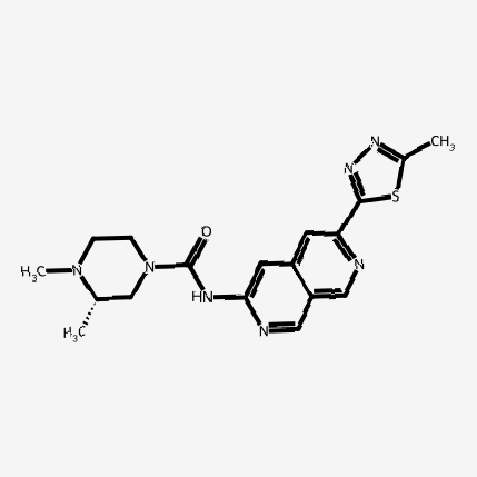 Cc1nnc(-c2cc3cc(NC(=O)N4CCN(C)[C@@H](C)C4)ncc3cn2)s1